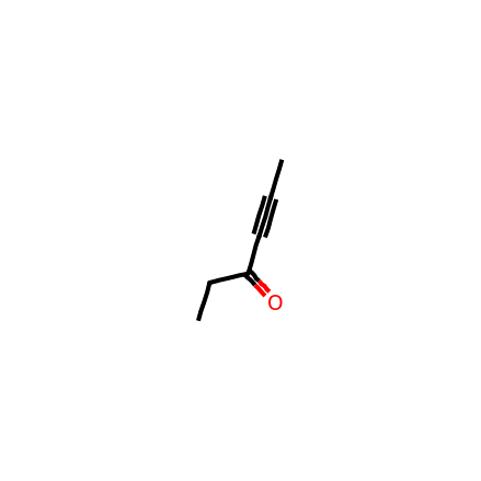 CC#CC(=O)CC